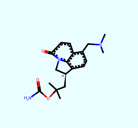 CN(C)Cc1ccc2c3c1ccc(=O)n3C[C@@H]2CC(C)(C)OC(N)=O